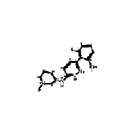 Cc1cccc(O)c1-c1ccc(N[C@@H]2CCCN(C)C2)nn1